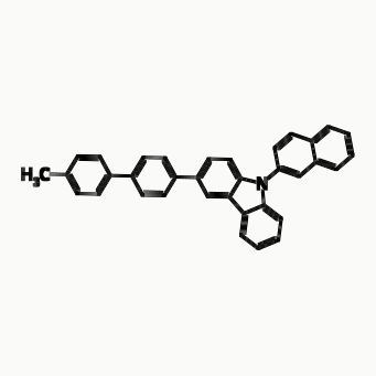 Cc1ccc(-c2ccc(-c3ccc4c(c3)c3ccccc3n4-c3ccc4ccccc4c3)cc2)cc1